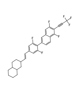 Fc1cc2cc(-c3c(F)cc(/C=C/C4CCC5CCCCC5C4)cc3F)ccc2c(F)c1C#CC(F)(F)F